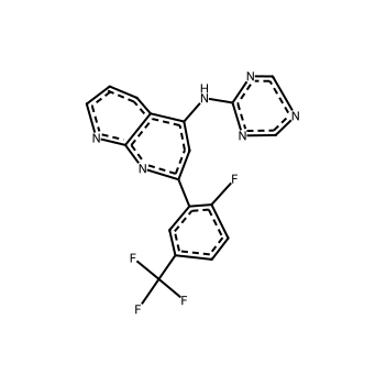 Fc1ccc(C(F)(F)F)cc1-c1cc(Nc2ncncn2)c2cccnc2n1